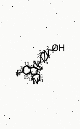 OCCN1CCN(c2nc3c4ccc(F)cc4c4cnccc4c3s2)CC1